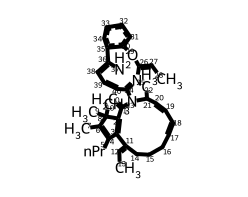 C=C1C2=C(C(CCC)=C(C)C2(C)C)/C(=C/C)CCC/C=C\C=C/C(C)N1C1=N/C(=C\C)Oc2ccccc2/C(N)=C/C=C\1